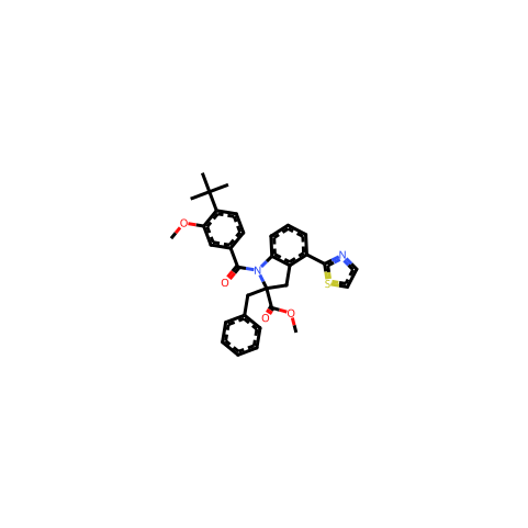 COC(=O)C1(Cc2ccccc2)Cc2c(-c3nccs3)cccc2N1C(=O)c1ccc(C(C)(C)C)c(OC)c1